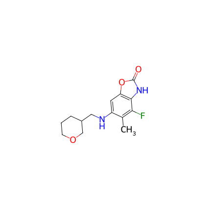 Cc1c(NCC2CCCOC2)cc2oc(=O)[nH]c2c1F